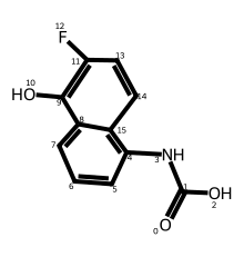 O=C(O)Nc1cccc2c(O)c(F)ccc12